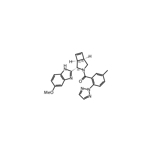 COc1ccc2[nH]c([C@@H]3[C@H]4C=C[C@H]4CN3C(=O)c3cc(C)ccc3-n3nccn3)nc2c1